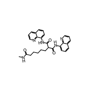 CNC(=O)CCCCCC(C(=O)Nc1cccc2cccnc12)C(=O)Nc1cccc2cccnc12